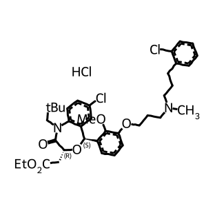 CCOC(=O)C[C@H]1O[C@H](c2cccc(OCCCN(C)CCCc3ccccc3Cl)c2OC)c2cc(Cl)ccc2N(CC(C)(C)C)C1=O.Cl